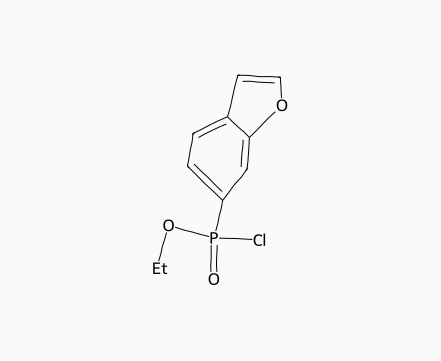 CCOP(=O)(Cl)c1ccc2ccoc2c1